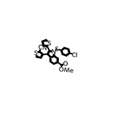 COC(=O)c1ccc2c(-c3ccsc3C#N)c(-c3cccs3)n(Sc3ccc(Cl)cc3)c2c1